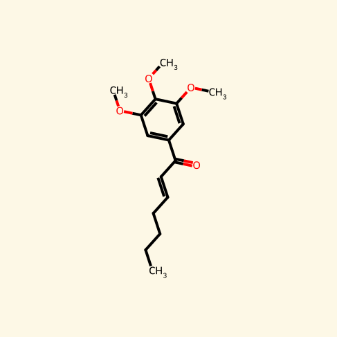 CCCCC=CC(=O)c1cc(OC)c(OC)c(OC)c1